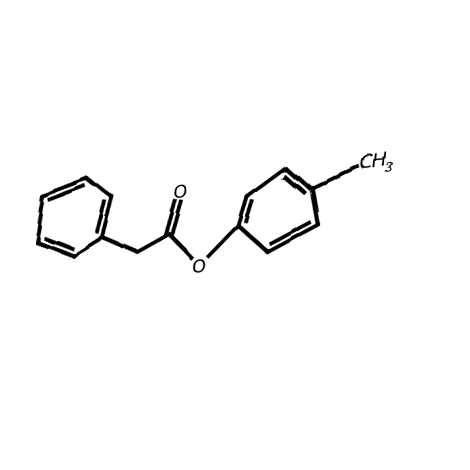 Cc1ccc(OC(=O)Cc2ccccc2)cc1